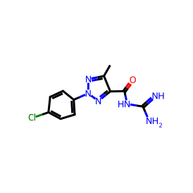 Cc1nn(-c2ccc(Cl)cc2)nc1C(=O)NC(=N)N